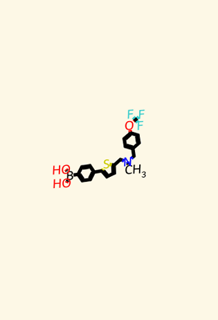 CN(Cc1ccc(OC(F)(F)F)cc1)Cc1ccc(-c2ccc(B(O)O)cc2)s1